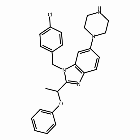 CC(Oc1ccccc1)c1nc2ccc(N3CCNCC3)cc2n1Cc1ccc(Cl)cc1